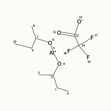 CCC(C)[O][Al+][O]C(C)CC.O=C([O-])C(F)(F)F